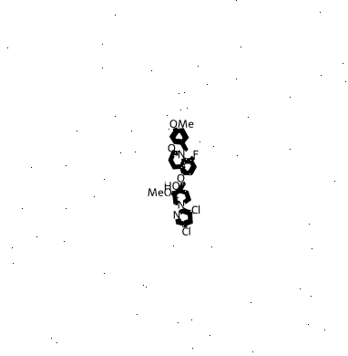 COc1ccc(CN2C(=O)CCc3c(OCC4(O)CCN(c5ncc(Cl)cc5Cl)CC4OC)ccc(F)c32)cc1